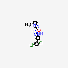 Cc1cccc2nc(C(=O)Nc3nc4cc(-c5cc(Cl)ccc5Cl)ccc4[nH]3)cn12